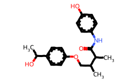 CC(O)c1ccc(OCC(C)C(C)C(=O)Nc2ccc(O)cc2)cc1